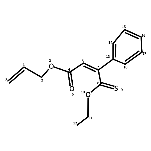 C=CCOC(=O)/C=C(\C(=S)OCC)c1ccccc1